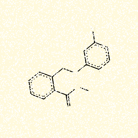 Cc1cccc(SCc2ccccc2C(=O)OCl)c1